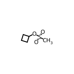 CS(=O)(=O)OC1CCC1